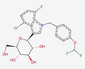 OC[C@H]1O[C@@H](c2cn(Cc3ccc(OC(F)F)cc3)c3c(F)ccc(Cl)c23)[C@H](O)[C@@H](O)[C@@H]1O